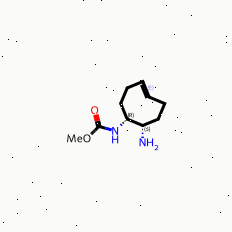 COC(=O)N[C@@H]1CC/C=C/CC[C@@H]1N